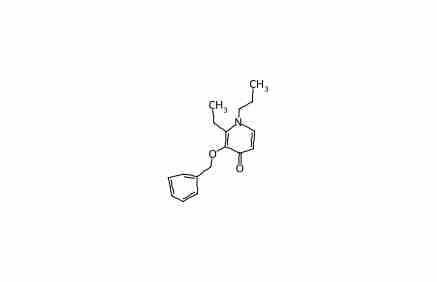 CCCn1ccc(=O)c(OCc2ccccc2)c1CC